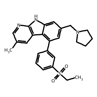 CCS(=O)(=O)c1cccc(-c2cc(CN3CCCC3)cc3[nH]c4ncc(C)cc4c23)c1